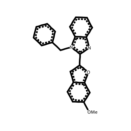 COc1ccc2cc(-c3nc4ccccc4n3Cc3ccccc3)oc2c1